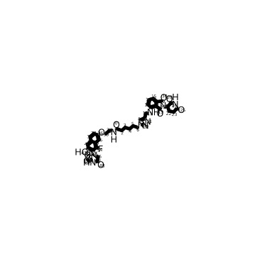 O=C(CCCCCn1cc(CNc2cccc3c2C(=O)N(C2CCC(=O)NC2=O)C3=O)nn1)NCCOc1ccc2cc(O)c(N3CC(=O)NS3(=O)=O)c(F)c2c1